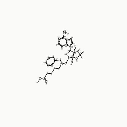 COC(=O)CCCCN(Cc1ccccc1)C[C@H]1O[C@@H](n2cnc3c(N)ncnc32)[C@@H]2OC(C)(C)O[C@@H]21